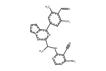 Cc1cc(-c2nc(C(C)Nc3ncnc(N)c3C#N)nn3cccc23)cc(C)c1C=O